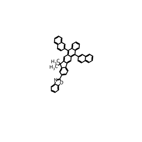 CC1(C)c2cc(-c3nc4ccccc4o3)ccc2-c2cc3c(-c4ccc5ccccc5c4)c4ccccc4c(-c4ccc5ccccc5c4)c3cc21